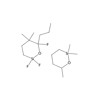 CC1CCC[Si](C)(C)O1.CCCC1(F)O[Si](F)(F)CCC1(C)C